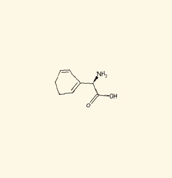 N[C@@H](C(=O)O)C1=CCCC=C1